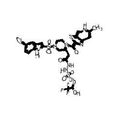 CC1Cc2nc(C(=O)N3CCN(S(=O)(=O)c4cc5cc(Cl)ccc5[nH]4)CC3CC(=O)NNS(C)(=O)=O)sc2CN1.O=C(O)C(F)(F)F